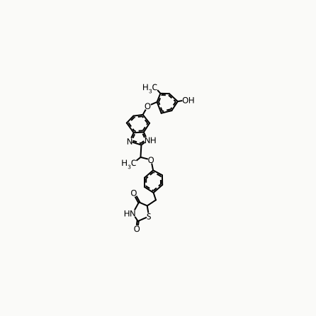 Cc1cc(O)ccc1Oc1ccc2nc(C(C)Oc3ccc(CC4SC(=O)NC4=O)cc3)[nH]c2c1